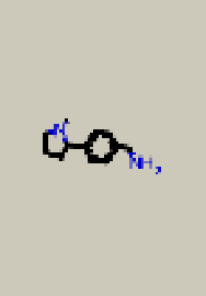 CN1CCCC1c1ccc(CN)cc1